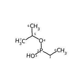 CCP(O)OC(C)C